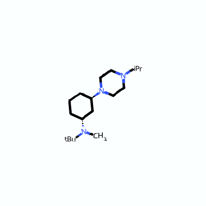 CC(C)N1CCN([C@@H]2CCC[C@@H](N(C)C(C)(C)C)C2)CC1